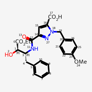 CCOC(=O)[C@H](O)[C@@H](Cc1ccccc1)NC(=O)c1cc(C(=O)O)n(Cc2ccc(OC)cc2)n1